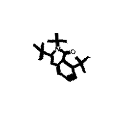 CC(C)(C)c1cccc2cc(C(C)(C)C)n(C(C)(C)C)c(=O)c12